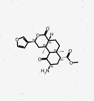 COC(=O)[C@@H]1C[C@@H](N)C(=O)C2[C@@]1(C)CC[C@H]1C(=O)O[C@H](c3ccoc3)C[C@]21C